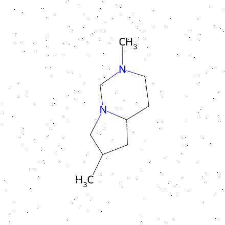 CC1CC2CCN(C)CN2C1